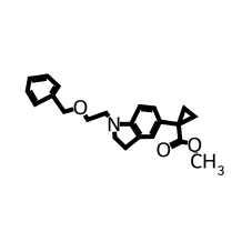 COC(=O)C1(c2ccc3c(c2)CCN3CCOCc2ccccc2)CC1